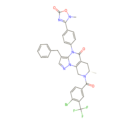 C[C@H]1Cc2c(n3ncc(Cc4ccccc4)c3n(-c3ccc(-c4nc(=O)on4C)cc3)c2=O)CN1C(=O)c1ccc(Br)c(C(F)(F)F)c1